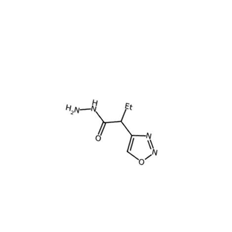 CCC(C(=O)NN)c1conn1